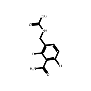 CC(C)(C)C(=O)NCc1ccc(Cl)c(C(N)=O)c1F